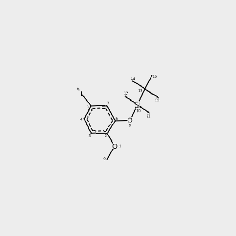 COc1ccc(I)cc1O[Si](C)(C)C(C)(C)C